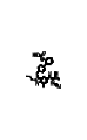 CCCc1nc2c(C)cc(NC(=NC#N)NC)cc2n1Cc1ccc(-c2ccccc2OC(=O)O)cc1